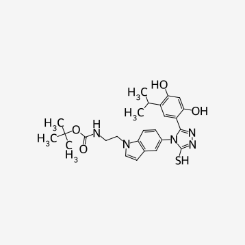 CC(C)c1cc(-c2nnc(S)n2-c2ccc3c(ccn3CCNC(=O)OC(C)(C)C)c2)c(O)cc1O